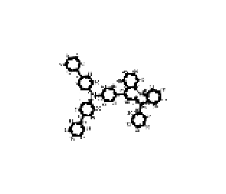 c1ccc(-c2ccc(N(c3ccc(-c4ccccc4)cc3)c3ccc(-c4cc5c(-c6ccccc6)c6ccccc6n5c5ccccc45)cc3)cc2)cc1